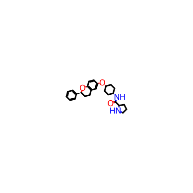 O=C(N[C@H]1CC[C@H](Oc2ccc3c(c2)CC[C@@H](c2ccccc2)O3)CC1)C1CCCN1